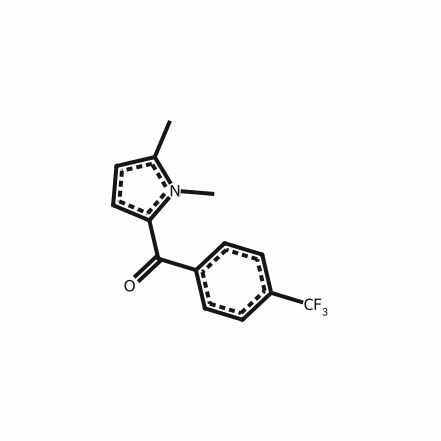 Cc1ccc(C(=O)c2ccc(C(F)(F)F)cc2)n1C